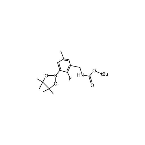 Cc1cc(CNC(=O)OC(C)(C)C)c(F)c(B2OC(C)(C)C(C)(C)O2)c1